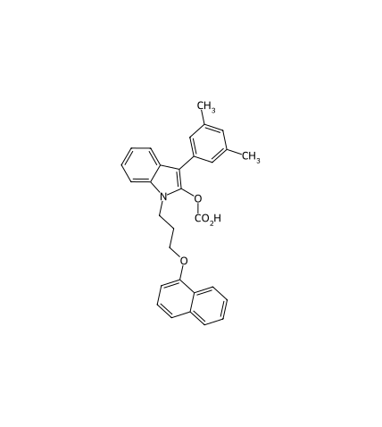 Cc1cc(C)cc(-c2c(OC(=O)O)n(CCCOc3cccc4ccccc34)c3ccccc23)c1